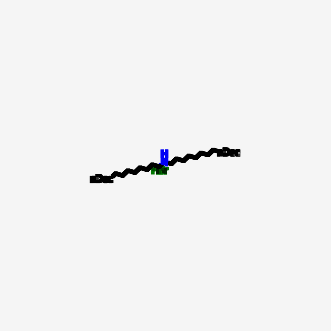 Br.CCCCCCCCCCCCCCCCCCNCCCCCCCCCCCCCCCCCC